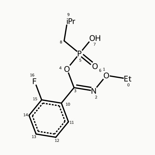 CCON=C(OP(=O)(O)CC(C)C)c1ccccc1F